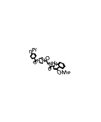 CCCc1ccc(C(=O)N2CCN(C(=O)CNC(=O)c3cc(OC)c4ccccc4n3)CC2)cc1